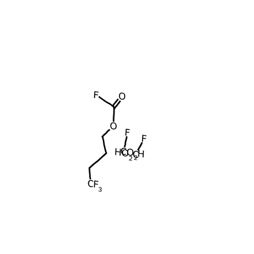 O=C(F)OCCCC(F)(F)F.O=C(O)F.O=C(O)F